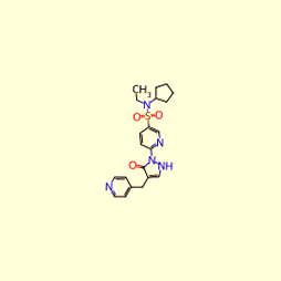 CCN(C1CCCC1)S(=O)(=O)c1ccc(-n2[nH]cc(Cc3ccncc3)c2=O)nc1